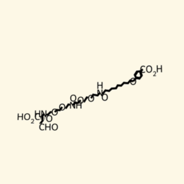 O=CCC[C@H](NC(=O)COCCOCCNC(=O)COCCOCCNC(=O)CCCCCCCCCOc1ccc(C(=O)O)cc1)C(=O)O